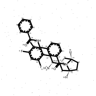 N[C@H](Cc1cc(F)c(F)cc1F)[C@@H]1C[C@H]2CC[C@@H](C1)N2C(=O)c1cccc(CNC(=O)c2ccccc2)c1